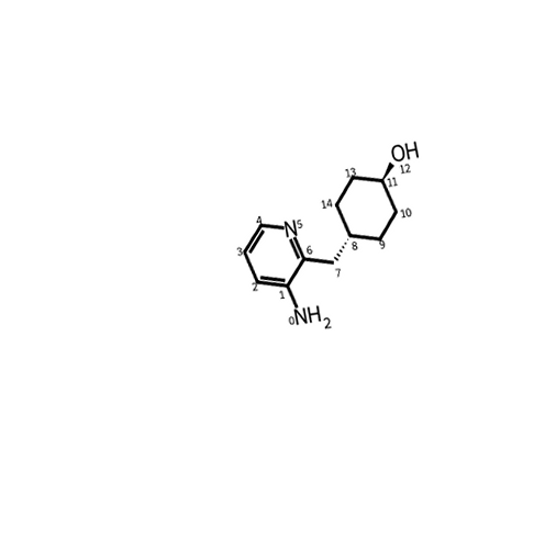 Nc1cccnc1C[C@H]1CC[C@H](O)CC1